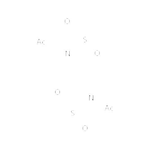 C=CS(=O)(=O)N(CCN(C(C)=O)S(=O)(=O)C=C)C(C)=O.CC